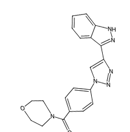 O=C(c1ccc(-n2cc(-c3n[nH]c4ccccc34)nn2)cc1)N1CCOCC1